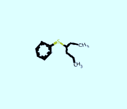 CCCC(CC)Sc1[c]cccc1